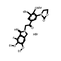 Br.CCOc1cc2c(c(F)c1OCC)C(=N)N(CC(=O)c1cc(N3CCOC3=O)c(OC)c(C(C)(C)C)c1)C2